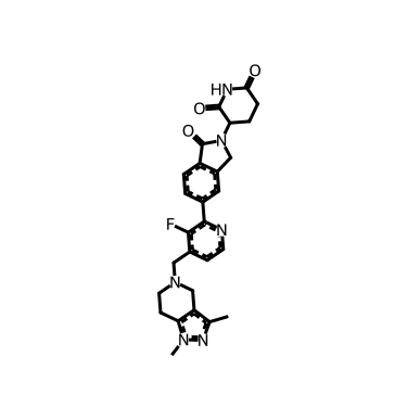 Cc1nn(C)c2c1CN(Cc1ccnc(-c3ccc4c(c3)CN(C3CCC(=O)NC3=O)C4=O)c1F)CC2